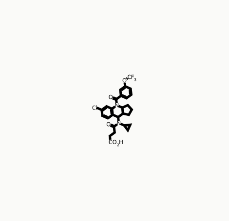 O=C(O)CCC(=O)N(C1CC1)C1c2ccc(Cl)cc2N(C(=O)c2cccc(OC(F)(F)F)c2)C2CCCC21